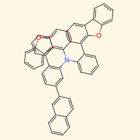 c1ccc(-c2ccc(-c3ccc4ccccc4c3)cc2N(c2ccccc2-c2cccc3c2oc2ccccc23)c2cccc3oc4ccccc4c23)cc1